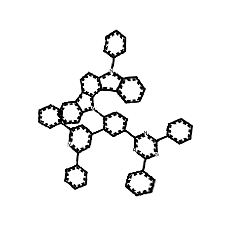 c1ccc(-c2cc(-c3cc(-c4nc(-c5ccccc5)nc(-c5ccccc5)n4)ccc3-n3c4ccccc4c4ccc5c(c6ccccc6n5-c5ccccc5)c43)cc(-c3ccccc3)n2)cc1